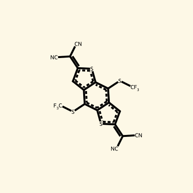 N#CC(C#N)=c1cc2c(SC(F)(F)F)c3sc(=C(C#N)C#N)cc3c(SC(F)(F)F)c2s1